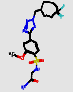 COc1cc(-c2nnn(CC3CCC(F)(F)CC3)n2)ccc1S(=O)(=O)NCC(N)=O